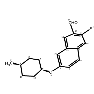 C[C@H]1CC[C@@H](Oc2ccc3cc(F)c(C=O)cc3c2)CC1